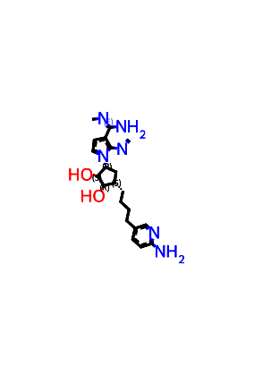 C=Nc1c(/C(N)=N\C)ccn1[C@@H]1C[C@H](CCCCc2ccc(N)nc2)[C@@H](O)[C@H]1O